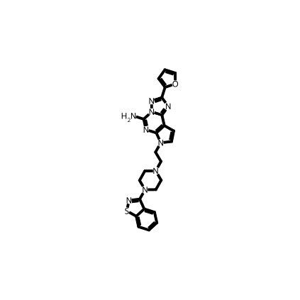 Nc1nc2c(ccn2CCN2CCN(c3nsc4ccccc34)CC2)c2nc(-c3ccco3)nn12